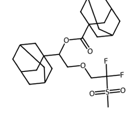 CS(=O)(=O)C(F)(F)COCC(OC(=O)C12CC3CC(CC(C3)C1)C2)C12CC3CC(CC(C3)C1)C2